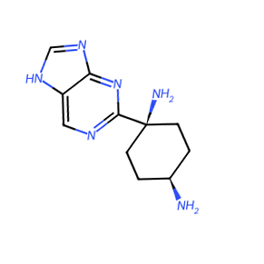 N[C@H]1CC[C@](N)(c2ncc3[nH]cnc3n2)CC1